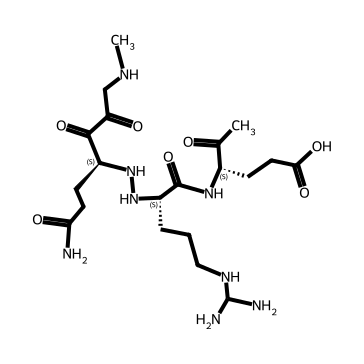 CNCC(=O)C(=O)[C@H](CCC(N)=O)NN[C@@H](CCCNC(N)N)C(=O)N[C@@H](CCC(=O)O)C(C)=O